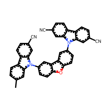 Cc1ccc2c3ccc(C#N)cc3n(-c3ccc4oc5ccc(-n6c7cc(C#N)ccc7c7ccc(C#N)cc76)cc5c4c3)c2c1